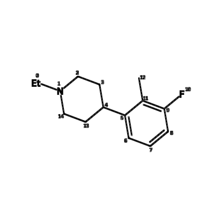 CCN1CCC(c2cccc(F)c2C)CC1